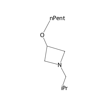 CCCCCOC1CN(CC(C)C)C1